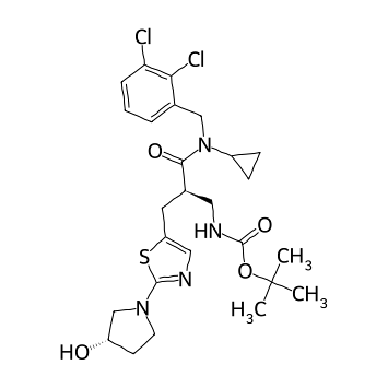 CC(C)(C)OC(=O)NC[C@@H](Cc1cnc(N2CC[C@H](O)C2)s1)C(=O)N(Cc1cccc(Cl)c1Cl)C1CC1